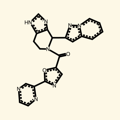 O=C(c1cnc(-c2cnccn2)o1)N1CCc2[nH]cnc2C1c1cc2ccccn2n1